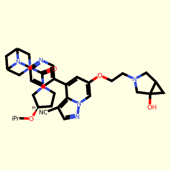 CC(C)O[C@@H]1CCN(C(=O)N2CC3CC(C2)N3c2ccc(-c3cc(OCCN4CC5CC5(O)C4)cn4ncc(C#N)c34)cn2)C1